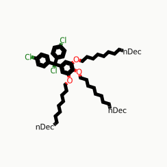 CCCCCCCCCCCCCCCCCCOc1cc(C(Cl)(c2ccc(Cl)cc2)c2ccc(Cl)cc2)cc(OCCCCCCCCCCCCCCCCCC)c1OCCCCCCCCCCCCCCCCCC